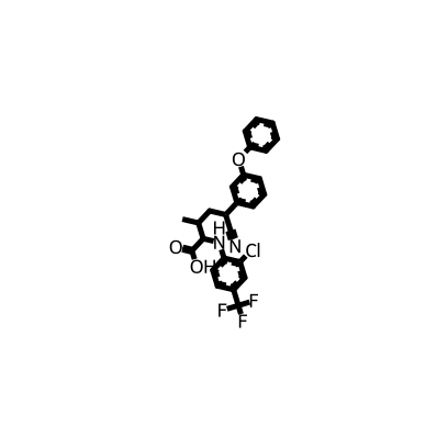 CC(CC(C#N)c1cccc(Oc2ccccc2)c1)C(Nc1ccc(C(F)(F)F)cc1Cl)C(=O)O